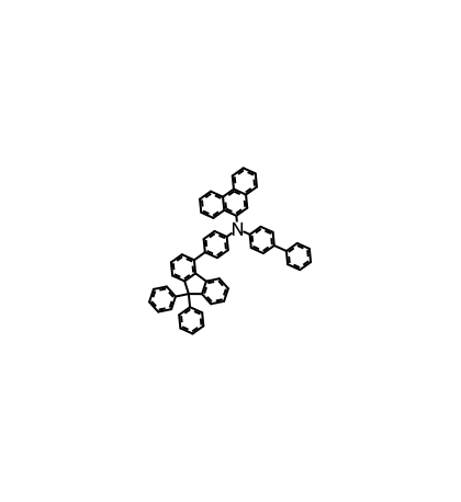 c1ccc(-c2ccc(N(c3ccc(-c4cccc5c4-c4ccccc4C5(c4ccccc4)c4ccccc4)cc3)c3cc4ccccc4c4ccccc34)cc2)cc1